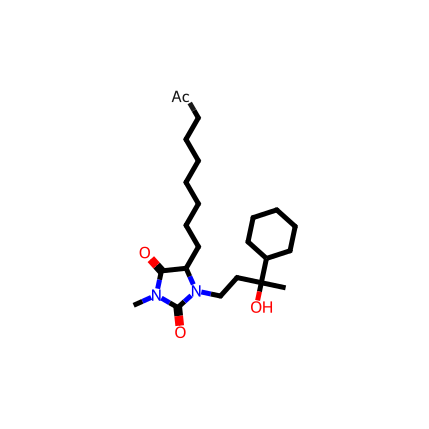 CC(=O)CCCCCCCC1C(=O)N(C)C(=O)N1CCC(C)(O)C1CCCCC1